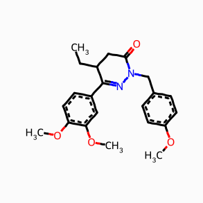 CCC1CC(=O)N(Cc2ccc(OC)cc2)N=C1c1ccc(OC)c(OC)c1